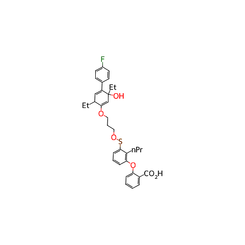 CCCc1c(Oc2ccccc2C(=O)O)cccc1SOCCCOC1=CC(O)(CC)C(c2ccc(F)cc2)=CC1CC